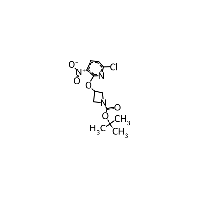 CC(C)(C)OC(=O)N1CC(Oc2nc(Cl)ccc2[N+](=O)[O-])C1